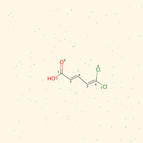 O=C(O)C=CC=C(Cl)Cl